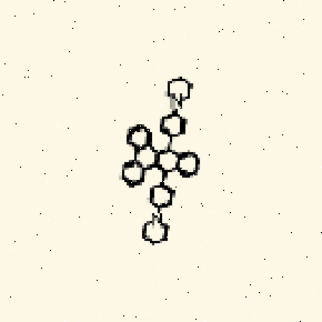 c1ccc2c(-c3ccc(N4CCCCC4)cc3)c3c4ccccc4c4ccccc4c3c(-c3ccc(N4CCCCC4)cc3)c2c1